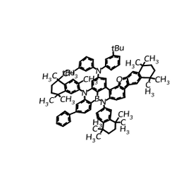 Cc1cc2c(cc1N1c3cc(-c4ccccc4)ccc3B3c4c(cc(N(c5cccc(C(C)(C)C)c5)c5cccc(C(C)(C)C)c5)cc41)-c1c(ccc4c1oc1cc5c(cc14)C(C)(C)CCC5(C)C)N3c1ccc3c(c1)C(C)(C)CCC3(C)C)C(C)(C)CCC2(C)C